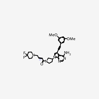 COc1cc(C#Cc2cn(C3CCN(C(=O)/C=C/CN4CCC(F)(F)CC4)C3)c3ncnc(N)c23)cc(OC)c1